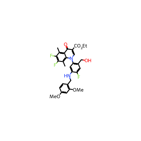 CCOC(=O)c1cn(-c2cc(NCc3ccc(OC)cc3OC)c(F)cc2CO)c2c(C)c(F)c(F)c(C)c2c1=O